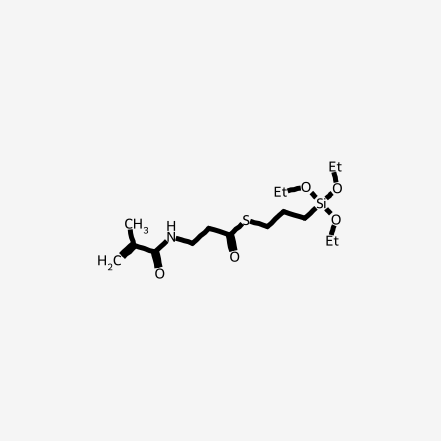 C=C(C)C(=O)NCCC(=O)SCCC[Si](OCC)(OCC)OCC